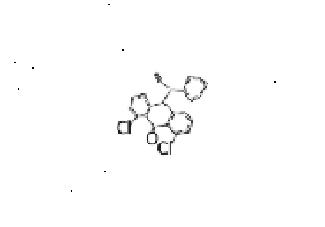 C#CC(c1ccccc1)C1c2cccc(Cl)c2C(=O)c2c(Cl)cccc21